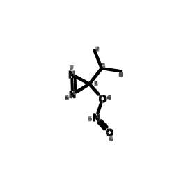 CC(C)C1(ON=O)N=N1